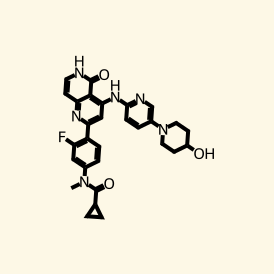 CN(C(=O)C1CC1)c1ccc(-c2cc(Nc3ccc(N4CCC(O)CC4)cn3)c3c(=O)[nH]ccc3n2)c(F)c1